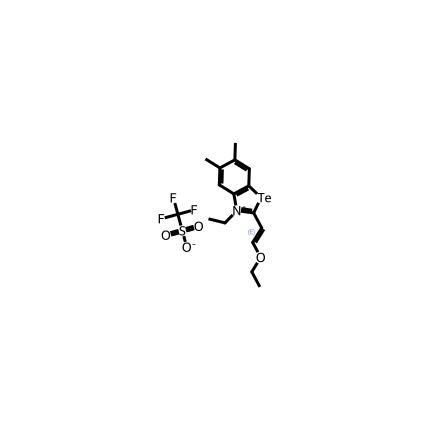 CCO/C=C/c1[te]c2cc(C)c(C)cc2[n+]1CC.O=S(=O)([O-])C(F)(F)F